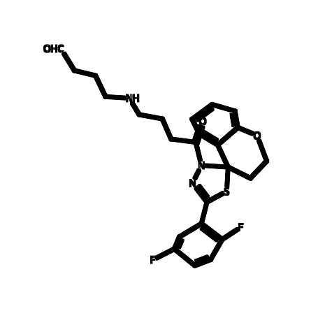 O=CCCCNCCCC(=O)N1N=C(c2cc(F)ccc2F)SC12CCOc1ccccc12